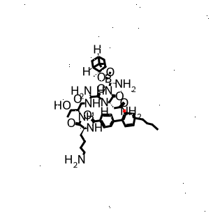 CCCCc1ccc(-c2ccc(C(=O)N[C@@H](CCCCN)C(=O)N[C@H](C(=O)N[C@@H](N)C(=O)N[C@@H](CC(N)=O)C(=O)N[C@@H](N)B3OC4C[C@@H]5C[C@@H](C5(C)C)[C@]4(C)O3)C(C)O)cc2)cc1